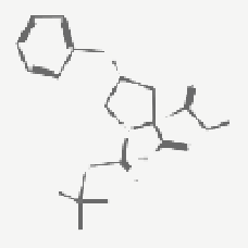 CCC(=O)[C@]1(C(=O)O)C[C@H](Sc2ccccc2)CN1C(=O)OC(C)(C)C